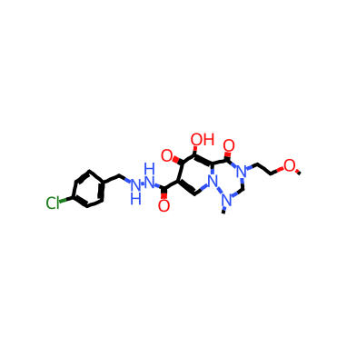 COCCN1CN(C)n2cc(C(=O)NNCc3ccc(Cl)cc3)c(=O)c(O)c2C1=O